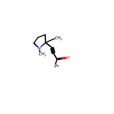 CC(C)C(=O)C#CC1(C)CCCN1C